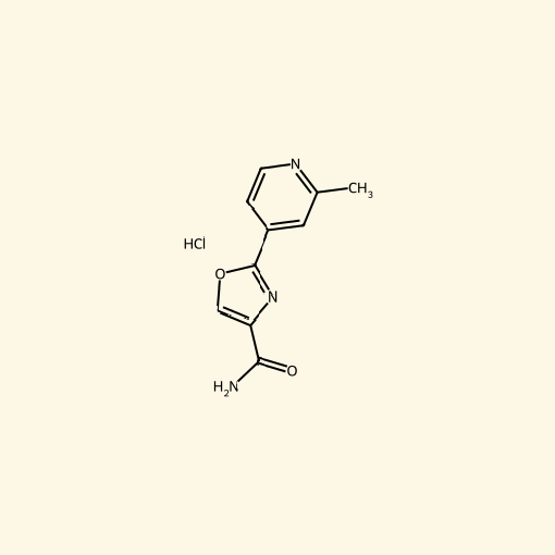 Cc1cc(-c2nc(C(N)=O)co2)ccn1.Cl